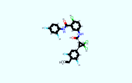 C=Cc1c(F)cc([C@H]2[C@H](C(=O)Nc3ccc(Cl)c(C(=O)Nc4ccc(F)cc4F)c3)C2(Cl)Cl)cc1F